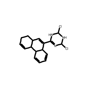 ClC1N=C(C2=CC3CCC=CC3C3C=CC=CC23)NC(Cl)N1